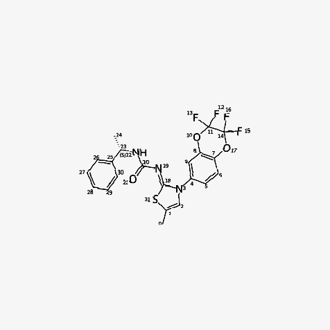 Cc1cn(-c2ccc3c(c2)OC(F)(F)C(F)(F)O3)c(=NC(=O)N[C@@H](C)c2ccccc2)s1